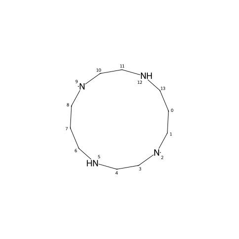 C1C[N]CCNCCC[N]CCNC1